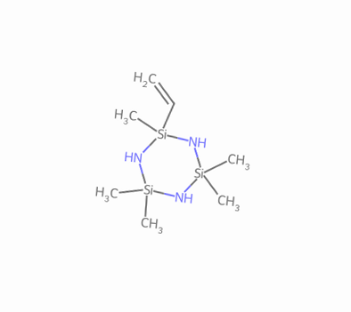 C=C[Si]1(C)N[Si](C)(C)N[Si](C)(C)N1